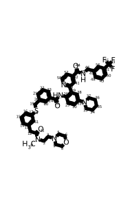 CN(CCN1CCOCC1)C(=O)Cc1cccc(SCc2cccc(C(=O)Nc3ccc(N4CCCCC4)cc3-c3cc(C(=O)NCc4cccc(C(F)(F)F)c4)ccn3)c2)c1